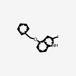 Ic1cc2c(OCc3ccccc3)cccc2[nH]1